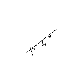 CCCCCCCCCOCC(=O)CCCCCCCN(CCO)CCCCCCCCCC(=O)OC(CCCCCC)CCCCCC